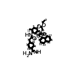 CCOC(=O)CN(c1ccc(C)c(NC(=O)Cc2ccc(C(=N)N)cc2)c1)S(=O)(=O)c1cccc2ccccc12